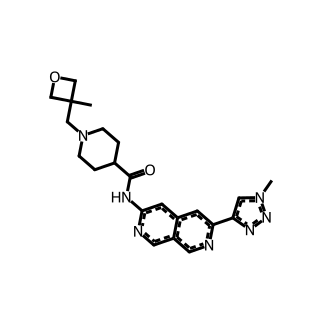 Cn1cc(-c2cc3cc(NC(=O)C4CCN(CC5(C)COC5)CC4)ncc3cn2)nn1